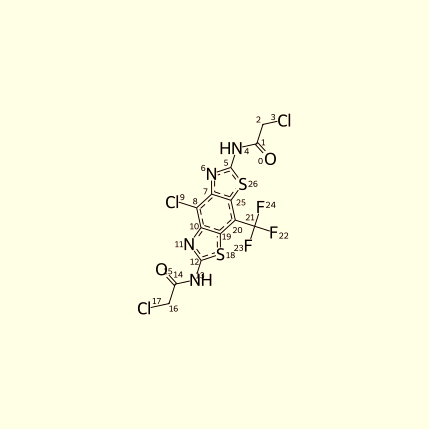 O=C(CCl)Nc1nc2c(Cl)c3nc(NC(=O)CCl)sc3c(C(F)(F)F)c2s1